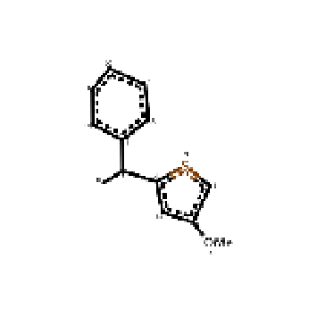 COc1csc(C(C)c2ccccc2)c1